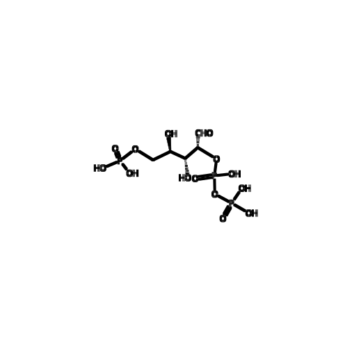 O=C[C@H](OP(=O)(O)OP(=O)(O)O)[C@H](O)[C@H](O)COP(=O)(O)O